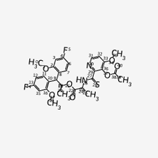 COc1cc(F)ccc1C(c1ccc(F)cc1OC)[C@H](C)OC(=O)[C@H](C)NC(=S)c1nccc(OC)c1OC(C)=O